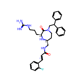 N=C(N)NCCC[C@@H]1N[C@H](CNC(=O)/C=C/c2ccccc2F)CCN(CC(c2ccccc2)c2ccccc2)C1=O